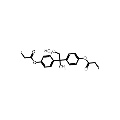 CC(CC(=O)O)(c1ccc(OC(=O)CI)cc1)c1ccc(OC(=O)CI)cc1